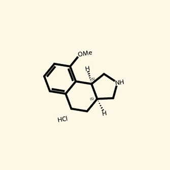 COc1cccc2c1[C@H]1CNC[C@H]1CC2.Cl